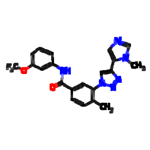 Cc1ccc(C(=O)Nc2cccc(OC(F)(F)F)c2)cc1-n1cc(-c2cncn2C)nn1